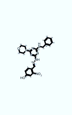 O=[N+]([O-])c1cc(O)ccc1/C=N/Nc1nc(NCc2ccccc2)nc(N2CCOCC2)n1